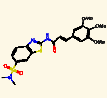 COc1cc(C=CC(=O)Nc2nc3ccc(S(=O)(=O)N(C)C)cc3s2)cc(OC)c1OC